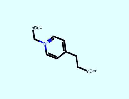 CCCCCCCCCCCCc1cc[n+](CCCCCCCCCCC)cc1